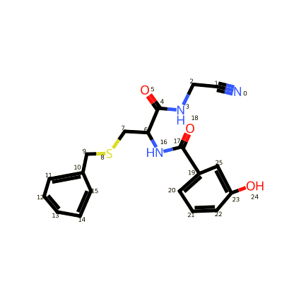 N#CCNC(=O)C(CSCc1ccccc1)NC(=O)c1cccc(O)c1